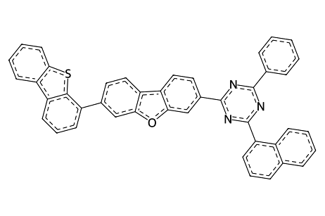 c1ccc(-c2nc(-c3ccc4c(c3)oc3cc(-c5cccc6c5sc5ccccc56)ccc34)nc(-c3cccc4ccccc34)n2)cc1